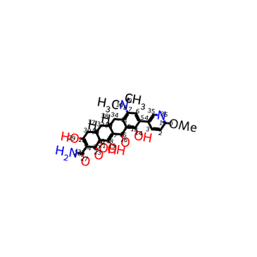 COc1ccc(-c2cc(N(C)C)c3c(c2O)C(=O)C2=C(O)[C@]4(O)C(=O)C(C(N)=O)=C(O)C[C@@H]4C[C@@H]2C3)cn1